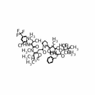 CC[C@H](C)[C@@H]([C@@H](CC(=O)N1CCC[C@H]1[C@H](OC)[C@@H](C)C(=O)N[C@@H](Cc1ccccc1)C(=O)OC(C)(C)C(C)(C)C)OC)N(C)C(=O)[C@@H](Nc1ncc(C(F)(F)F)cc1Cl)C(C)C